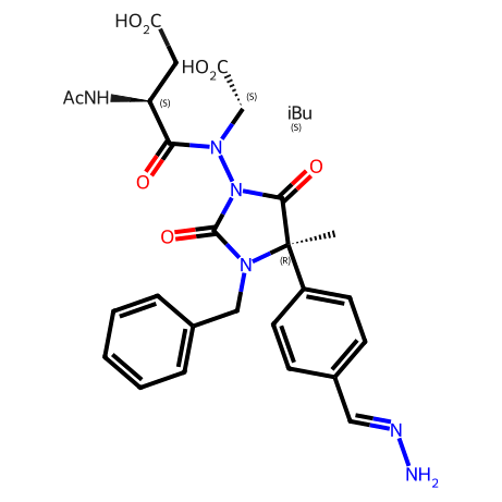 CC[C@H](C)[C@@H](C(=O)O)N(C(=O)[C@H](CC(=O)O)NC(C)=O)N1C(=O)N(Cc2ccccc2)[C@](C)(c2ccc(C=NN)cc2)C1=O